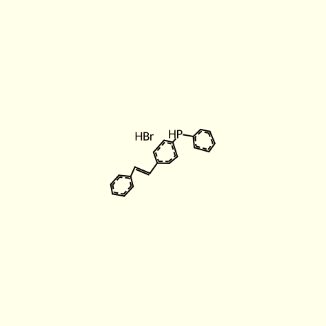 Br.C(=Cc1ccc(Pc2ccccc2)cc1)c1ccccc1